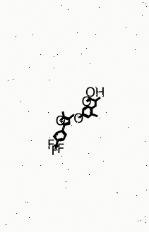 Cc1cc(OCc2cc(-c3ccc(C(F)(F)F)cc3)oc2C)ccc1CC(C)C(=O)O